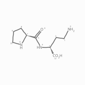 NCC[C@H](NC(=O)[C@@H]1CCCN1)C(=O)O